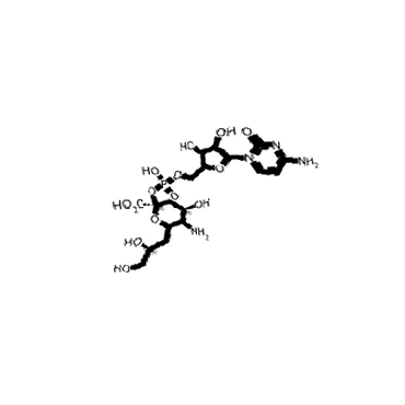 Nc1ccn(C2OC(COP(=O)(O)O[C@@]3(C(=O)O)C[C@@H](O)C(N)C(C[C@H](O)CO)O3)C(O)C2O)c(=O)n1